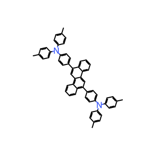 Cc1ccc(N(c2ccc(C)cc2)c2ccc(-c3cc4c5ccccc5c(-c5ccc(N(c6ccc(C)cc6)c6ccc(C)cc6)cc5)cc4c4ccccc34)cc2)cc1